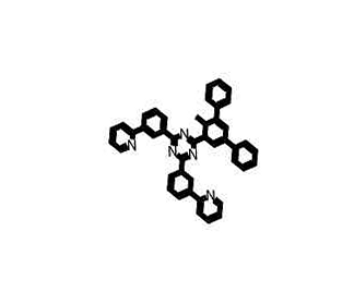 CC1C(c2ccccc2)=CC(c2ccccc2)=CC1c1nc(-c2cccc(-c3ccccn3)c2)nc(C2C=CC=C(c3ccccn3)C2)n1